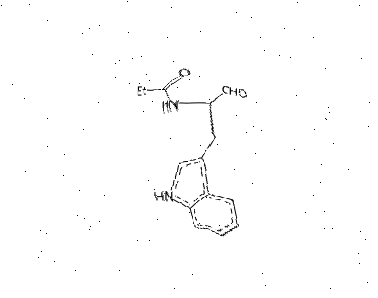 CCC(=O)NC(C=O)Cc1c[nH]c2ccccc12